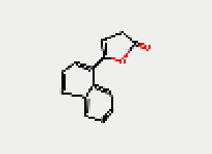 O=C1CC=C(c2cccc3ccccc23)O1